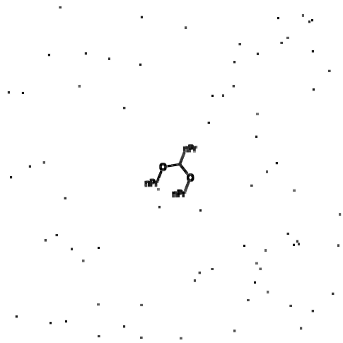 [CH2]CCC(OCCC)OCCC